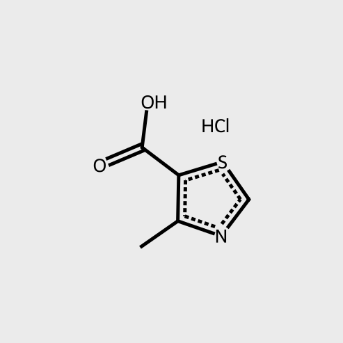 Cc1ncsc1C(=O)O.Cl